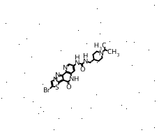 CC(C)N1CCC(CNC(=O)Nc2cnc3c(c2)[nH]c(=O)c2c3nn3cc(Br)sc23)CC1